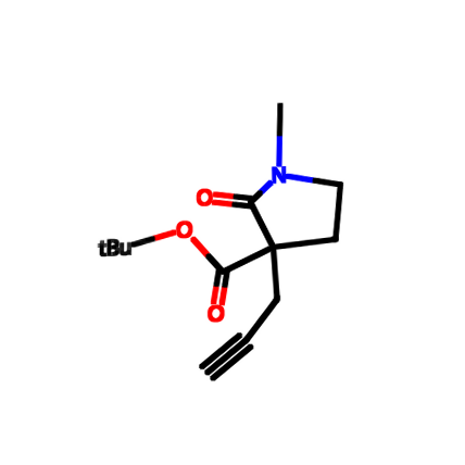 C#CCC1(C(=O)OC(C)(C)C)CCN(C)C1=O